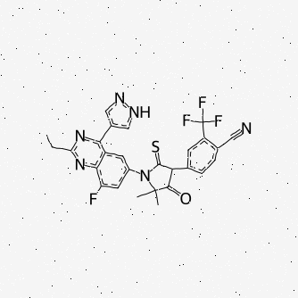 CCc1nc(-c2cn[nH]c2)c2cc(N3C(=S)C(c4ccc(C#N)c(C(F)(F)F)c4)C(=O)C3(C)C)cc(F)c2n1